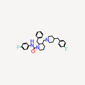 O=C(Nc1ccc(F)cc1)N1CCCC(CN2CCC(Cc3ccc(F)cc3)CC2)C1Cc1ccccc1